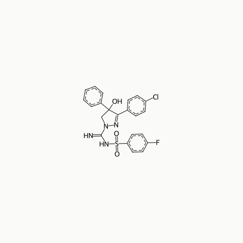 N=C(NS(=O)(=O)c1ccc(F)cc1)N1CC(O)(c2ccccc2)C(c2ccc(Cl)cc2)=N1